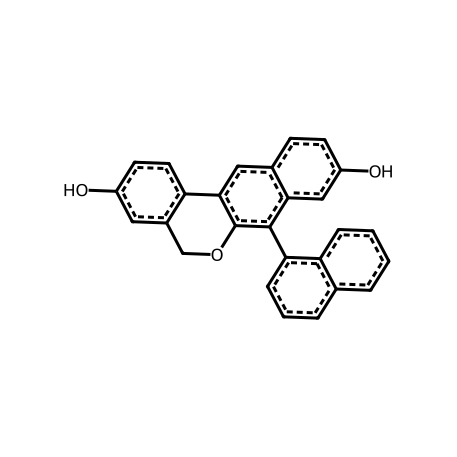 Oc1ccc2c(c1)COc1c-2cc2ccc(O)cc2c1-c1cccc2ccccc12